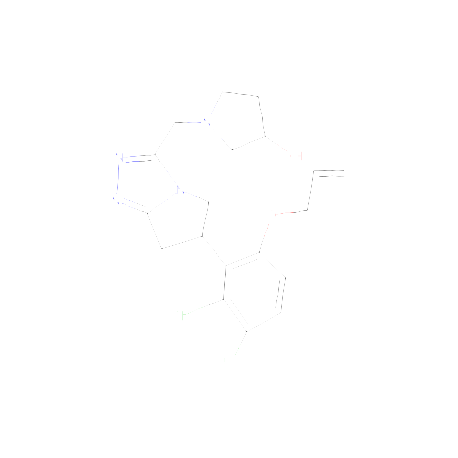 C=CCOc1ccc(Cl)c(Cl)c1C1Cc2nnc(CN3CCC(O)C3)n2C1